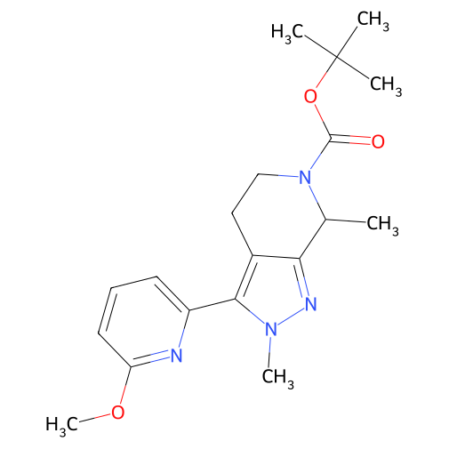 COc1cccc(-c2c3c(nn2C)C(C)N(C(=O)OC(C)(C)C)CC3)n1